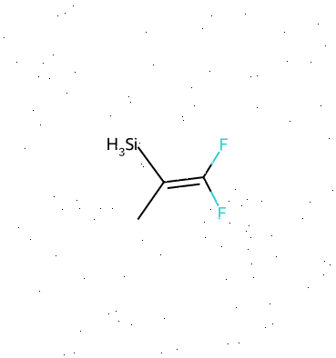 CC([SiH3])=C(F)F